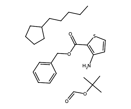 CC(C)(C)OC=O.CCCCCC1CCCC1.Nc1ccsc1C(=O)OCc1ccccc1